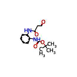 CC(C)(C)OC(=O)Nc1ccccc1NC(=O)CC=O